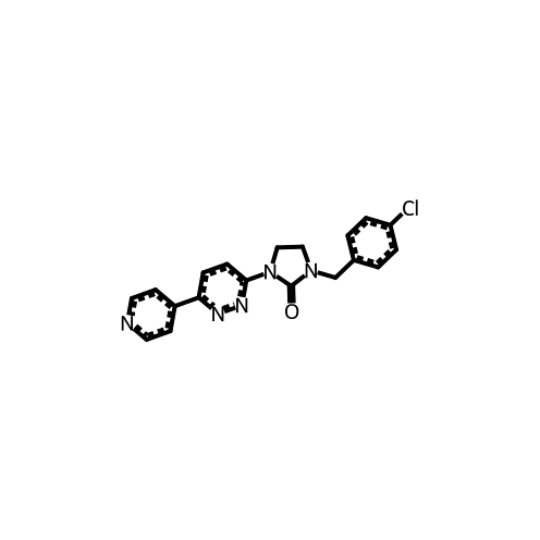 O=C1N(Cc2ccc(Cl)cc2)CCN1c1ccc(-c2ccncc2)nn1